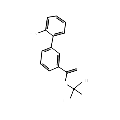 CC(C)(C)OC(=O)c1cccc(-c2ccccc2N)c1